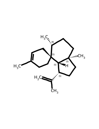 C=C(C)[C@H]1CC[C@]2(C)CC[C@@H](C)[C@]3(CC=C(C)CC3)[C@@H]12